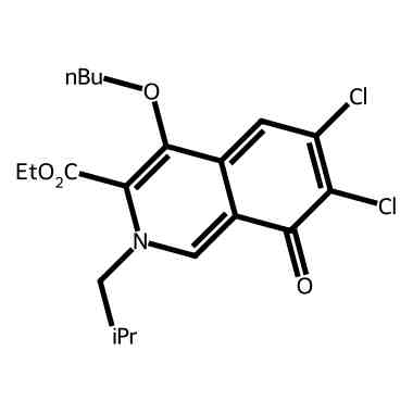 CCCCOc1c2cc(Cl)c(Cl)c(=O)c-2cn(CC(C)C)c1C(=O)OCC